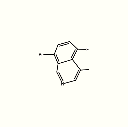 Cc1cncc2c(Br)ccc(F)c12